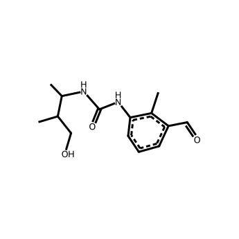 Cc1c(C=O)cccc1NC(=O)NC(C)C(C)CO